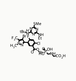 CC(C)OC(=O)c1cc(-c2nn(C)c(C(F)(F)F)c2Br)c(F)cc1Cl.CCNc1nc(NC(C)(C)C)nc(SC)n1.O=C(O)CNCP(=O)(O)O